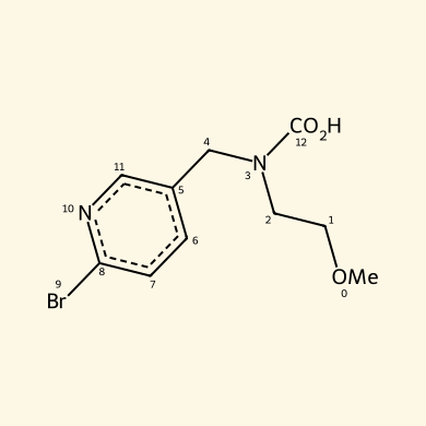 COCCN(Cc1ccc(Br)nc1)C(=O)O